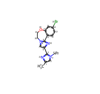 Cc1cn(C(C)C)c(-c2cn3c(n2)-c2ccc(Br)cc2OCC3)n1